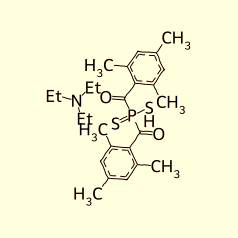 CCN(CC)CC.Cc1cc(C)c(C(=O)P(=S)(S)C(=O)c2c(C)cc(C)cc2C)c(C)c1